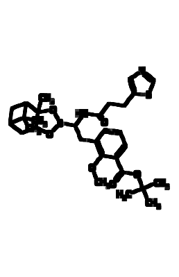 COc1c(CC(NC(=O)CCc2cncs2)B2OC3CC4CC(C4(C)C)C3(C)O2)cccc1C(=O)OC(C)(C)C